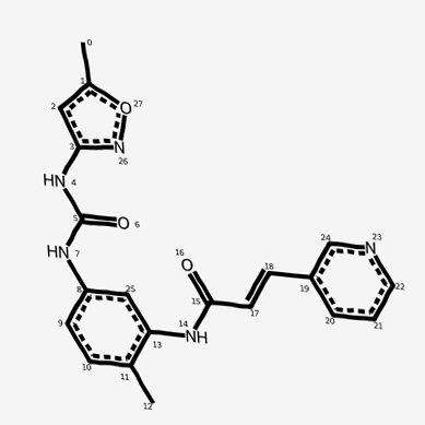 Cc1cc(NC(=O)Nc2ccc(C)c(NC(=O)C=Cc3cccnc3)c2)no1